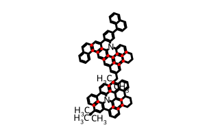 CC(C)(C)c1ccc(N(c2cc(C(C)(C)Cc3cc(C4CCCCC4)c4c(-c5ccccc5N(c5cc(-c6cccc7ccccc67)ccc5-c5ccccc5)c5cc(-c6cccc7ccccc67)ccc5-c5ccccc5)cccc4c3)ccc2-c2ccccc2)c2ccccc2-c2cccc3cccc(C4CCCCC4)c23)c(-c2ccccc2)c1